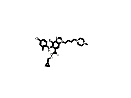 Cc1cc(Cl)ccc1Nc1c(C(=O)NOCC2CC2)cc2c(ncn2CCCCN2CCN(C)CC2)c1F